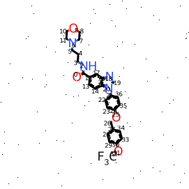 O=C(NCCCN1CCOCC1)c1ccc2c(c1)ncn2-c1ccc(OCc2ccc(OC(F)(F)F)cc2)cc1